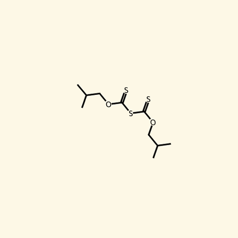 CC(C)COC(=S)SC(=S)OCC(C)C